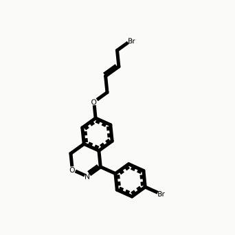 BrCC=CCOc1ccc2c(c1)CON=C2c1ccc(Br)cc1